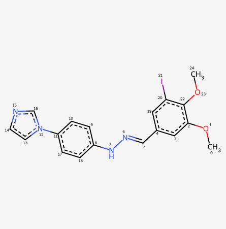 COc1cc(/C=N/Nc2ccc(-n3ccnc3)cc2)cc(I)c1OC